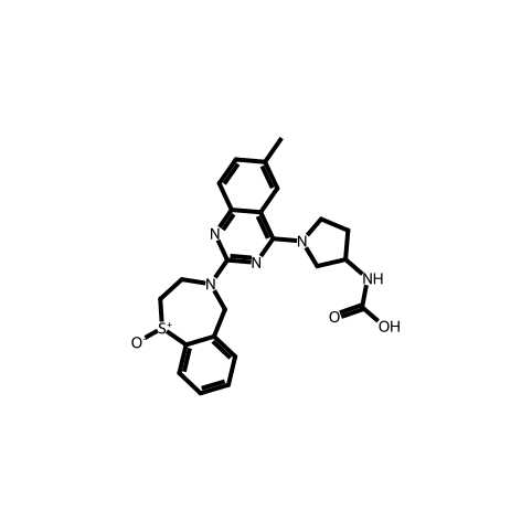 Cc1ccc2nc(N3CC[S+]([O-])c4ccccc4C3)nc(N3CCC(NC(=O)O)C3)c2c1